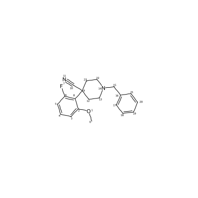 COc1cccc(F)c1C1(C#N)CCN(Cc2ccccc2)CC1